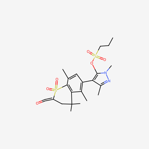 CCCS(=O)(=O)Oc1c(-c2cc(C)c3c(c2C)C(C)(C)CC(=C=O)S3(=O)=O)c(C)nn1C